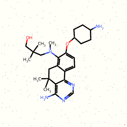 CN(CC(C)(C)CO)c1c(OC2CCC(N)CC2)ccc2c1CC(C)(C)c1c(N)ncnc1-2